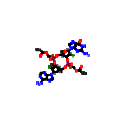 CC(C)(C)C(=O)OCSP1(=O)OC[C@H]2C[C@@H](n3cnc4c(N)ncnc43)C(F)[C@H]2OP(=O)(SCOC(=O)C(C)(C)C)OC[C@H]2O[C@@H](n3cnc4c(=O)[nH]c(N)nc43)[C@@H](F)C2O1